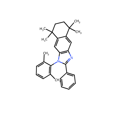 Cc1cccc(C)c1-n1c(-c2ccccc2)nc2cc3c(cc21)C(C)(C)CCC3(C)C